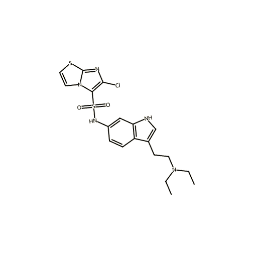 CCN(CC)CCc1c[nH]c2cc(NS(=O)(=O)c3c(Cl)nc4sccn34)ccc12